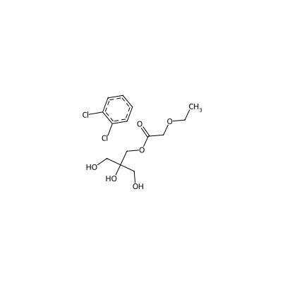 CCOCC(=O)OCC(O)(CO)CO.Clc1ccccc1Cl